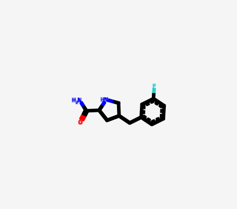 NC(=O)C1CC(Cc2cccc(F)c2)CN1